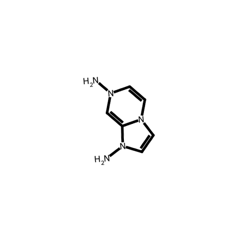 NN1C=CN2C=CN(N)C2=C1